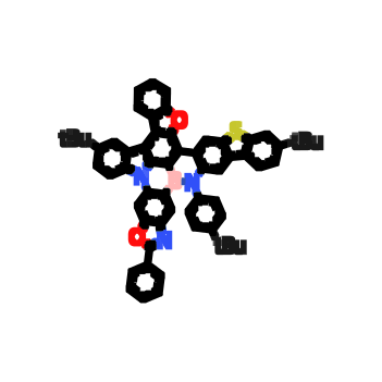 CC(C)(C)c1ccc(N2B3c4cc5nc(-c6ccccc6)oc5cc4-n4c5ccc(C(C)(C)C)cc5c5c6c(oc7ccccc76)c(c3c54)-c3cc4sc5cc(C(C)(C)C)ccc5c4cc32)cc1